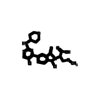 COCC(C(=O)O)N1C(=O)c2cc(-c3nc(NC4CCOCC4)ncc3Cl)ccc2C1Cl